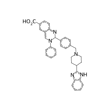 O=C(O)c1ccc2c(c1)=CN(c1ccccc1)C(c1ccc(CN3CCC(c4nc5ccccc5[nH]4)CC3)cc1)N=2